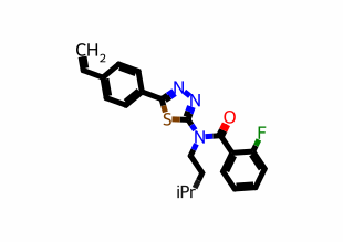 C=Cc1ccc(-c2nnc(N(CCC(C)C)C(=O)c3ccccc3F)s2)cc1